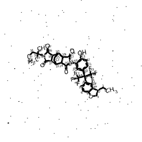 CCC1COc2ccc(C(c3ccc(O)c(N4C(=O)C5C6CCC(C5C4=O)C4C(=O)N(C(C)(C)CC)C(=O)C64)c3)(C(F)(F)F)C(F)(F)F)cc21